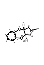 CN1C[C@H]2Oc3ccccc3O[C@@H]2C1